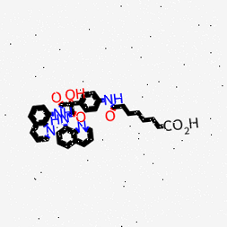 O=C(O)CCCCCCC(=O)Nc1ccc(C(O)(C(=O)Nc2cccc3cccnc23)C(=O)Nc2cccc3cccnc23)cc1